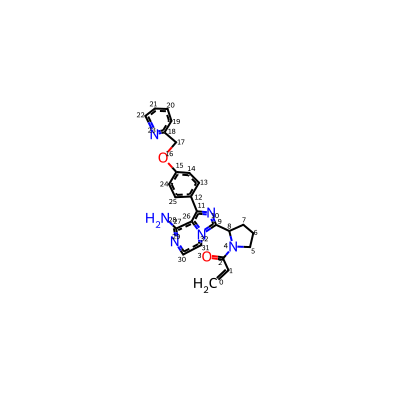 C=CC(=O)N1CCCC1c1nc(-c2ccc(OCc3ccccn3)cc2)c2c(N)nccn12